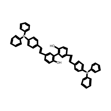 Oc1ccc(C=Cc2ccc(N(c3ccccc3)c3ccccc3)cc2)cc1-c1cc(C=Cc2ccc(N(c3ccccc3)c3ccccc3)cc2)ccc1O